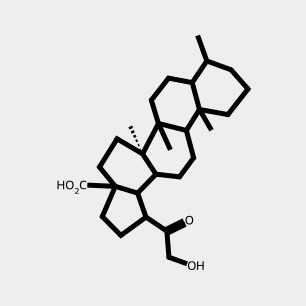 CC1CCCC2(C)C1CCC1(C)C2CCC2C3C(C(=O)CO)CCC3(C(=O)O)CC[C@]21C